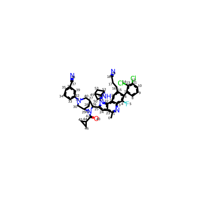 Cc1nc2c(F)c(-c3cccc(Cl)c3Cl)c(CCC#N)cc2c2c1cc(C1C3CC(CN(c4cccc(C#N)c4)C3)N1C(=O)C1CC1)n2C1C2CNC1C2